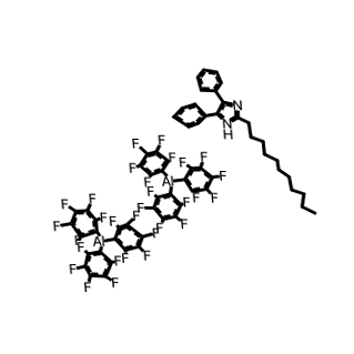 CCCCCCCCCCCc1nc(-c2ccccc2)c(-c2ccccc2)[nH]1.Fc1c(F)c(F)[c]([Al]([c]2c(F)c(F)c(F)c(F)c2F)[c]2c(F)c(F)c(F)c(F)c2F)c(F)c1F.Fc1c(F)c(F)[c]([Al]([c]2c(F)c(F)c(F)c(F)c2F)[c]2c(F)c(F)c(F)c(F)c2F)c(F)c1F